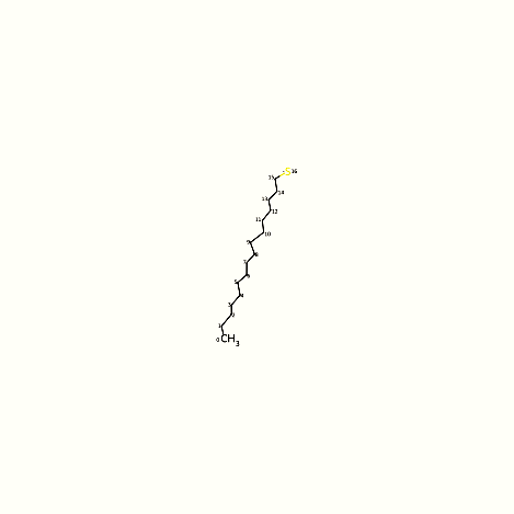 CCCCCCCCCCCCCCCC[S]